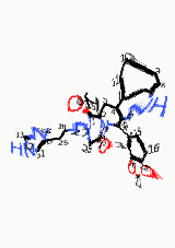 O=C1[C@H]2Cc3c([nH]c4ccccc34)[C@@H](c3ccc4c(c3)OCO4)N2C(=O)CN1CCc1c[nH]cn1